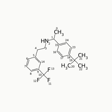 CC(NCCc1cccc(C(F)(F)F)c1)c1ccc(C(C)(C)C)cc1